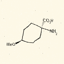 CO[C@H]1CC[C@](N)(C(=O)O)CC1